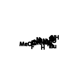 CCC(C)n1nc(N2CCNC2=O)c2cnc(Nc3ccnc(N4CC[C@H](OC)C(F)C4)n3)cc21